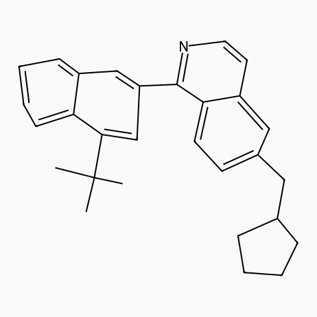 CC(C)(C)c1cc(-c2nccc3cc(CC4CCCC4)ccc23)cc2ccccc12